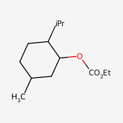 C[CH]OC(=O)OC1CC(C)CCC1C(C)C